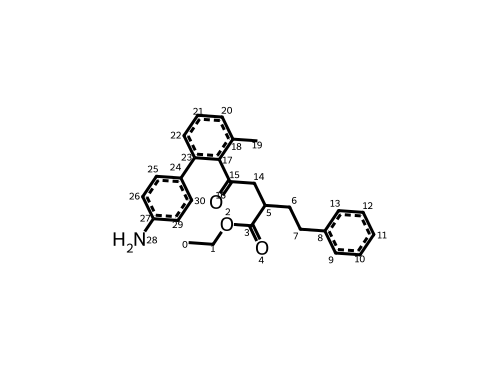 CCOC(=O)C(CCc1ccccc1)CC(=O)c1c(C)cccc1-c1ccc(N)cc1